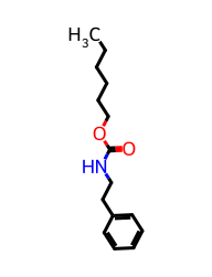 CCCCCCOC(=O)NCCc1ccccc1